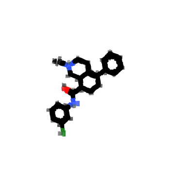 CN1CCC2=C(c3ccccc3)CCC(C(=O)Nc3cccc(Cl)c3)C2C1